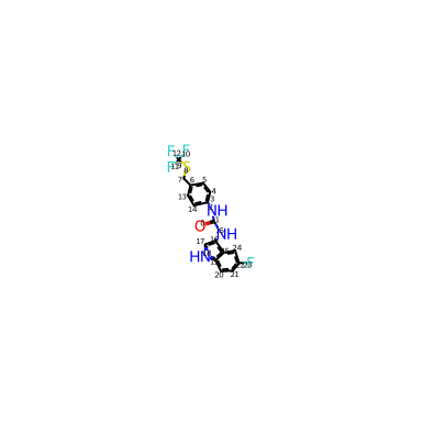 O=C(Nc1ccc(CSC(F)(F)F)cc1)Nc1c[nH]c2ccc(F)cc12